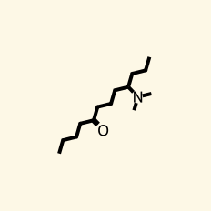 CCCCC(=O)CCCC(CCC)N(C)C